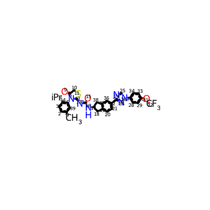 Cc1ccc(C(C)C)c(N2C(=O)CSC2=NC(=O)NC2Cc3ccc(-c4ncn(-c5ccc(OC(F)(F)F)cc5)n4)cc3C2)c1